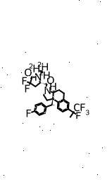 [2H]C([2H])([2H])N1C(=O)C(F)(F)C[C@H]1C(=O)N1CC[C@@]2(Cc3ccc(F)cc3)c3ccc(C(C)(F)C(F)(F)F)cc3CC[C@@H]12